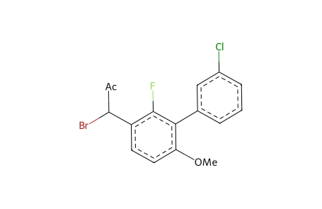 COc1ccc(C(Br)C(C)=O)c(F)c1-c1cccc(Cl)c1